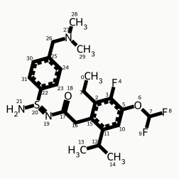 CCc1c(F)c(OC(F)F)cc(C(C)C)c1CC(=O)/N=S(/N)c1ccc(CN(C)C)cc1